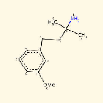 COc1cccc(CCC(C)(C)N)c1